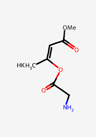 COC(=O)C=C(C)OC(=O)CN.[KH]